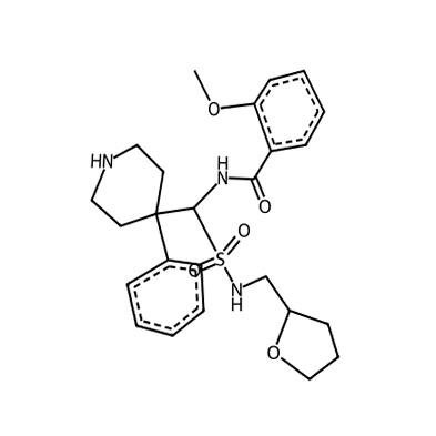 COc1ccccc1C(=O)NC(C1(c2ccccc2)CCNCC1)S(=O)(=O)NCC1CCCO1